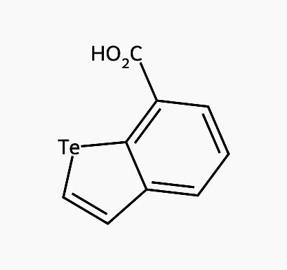 O=C(O)c1cccc2cc[te]c12